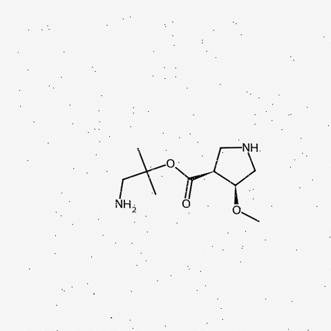 CO[C@@H]1CNC[C@@H]1C(=O)OC(C)(C)CN